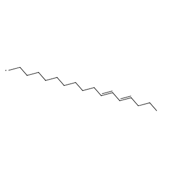 [CH2]CCCCCCCCCC=CC=CCCC